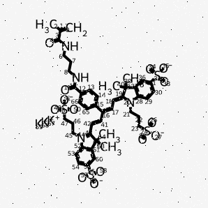 C=C(C)C(=O)NCCCNC(=O)c1ccc(C(=C\C=C2/N(CCCS(=O)(=O)[O-])c3ccc(S(=O)(=O)[O-])cc3C2(C)C)/C=C/C2=[N+](CCCS(=O)(=O)[O-])c3ccc(S(=O)(=O)[O-])cc3C2(C)C)cc1.[K+].[K+].[K+]